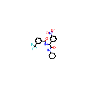 O=C(NC(C(=O)NC1CCCCC1)c1cccc([N+](=O)[O-])c1)c1cccc(C(F)(F)F)c1